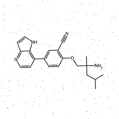 CC(C)CC(C)(N)COc1ccc(-c2ccnc3cc[nH]c23)cc1C#N